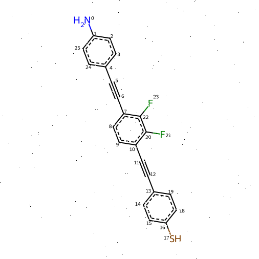 Nc1ccc(C#Cc2ccc(C#Cc3ccc(S)cc3)c(F)c2F)cc1